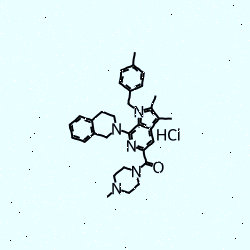 Cc1ccc(Cn2c(C)c(C)c3cc(C(=O)N4CCN(C)CC4)nc(N4CCc5ccccc5C4)c32)cc1.Cl